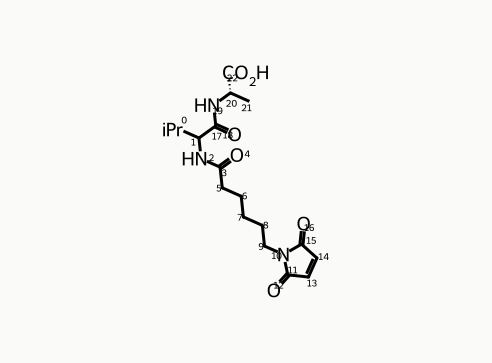 CC(C)C(NC(=O)CCCCCN1C(=O)C=CC1=O)C(=O)N[C@@H](C)C(=O)O